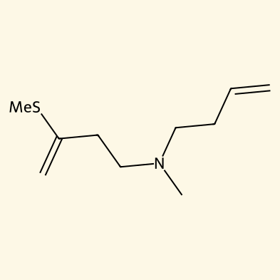 C=CCCN(C)CCC(=C)SC